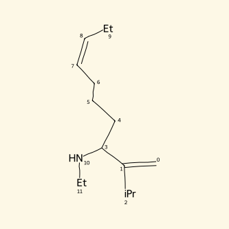 C=C(C(C)C)C(CCC/C=C\CC)NCC